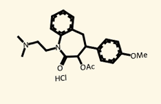 COc1ccc(C2Cc3ccccc3N(CCN(C)C)C(=O)C2OC(C)=O)cc1.Cl